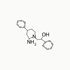 NC1CC(c2ccccc2)CCN1CC(O)c1ccccc1